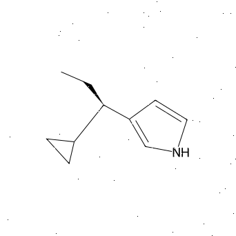 CC[C@@H](c1cc[nH]c1)C1CC1